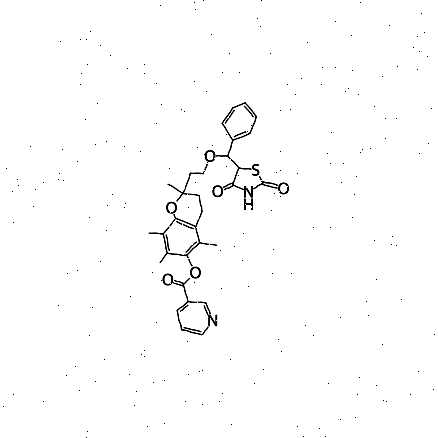 Cc1c(C)c2c(c(C)c1OC(=O)c1cccnc1)CCC(C)(CCOC(c1ccccc1)C1SC(=O)NC1=O)O2